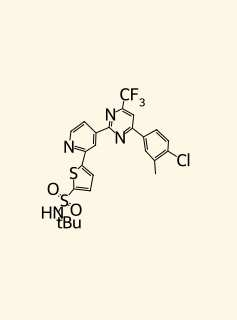 Cc1cc(-c2cc(C(F)(F)F)nc(-c3ccnc(-c4ccc(S(=O)(=O)NC(C)(C)C)s4)c3)n2)ccc1Cl